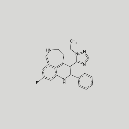 CCn1ncnc1C1C2=c3c(cc(F)cc3=CNCC2)NC1c1ccccc1